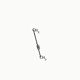 CCCC/C=C/CCCCCCCC/C=C/CCOCOCCCCCCCCCC